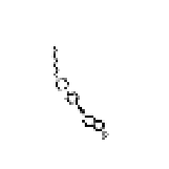 CCCCCCC[C@H]1CC[C@H](c2ccc(C#Cc3ccc4cc(OC)ccc4c3)cc2)CC1